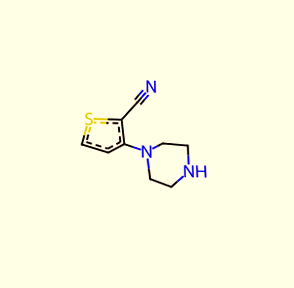 N#Cc1sccc1N1CCNCC1